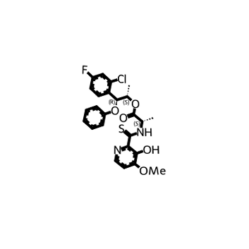 COc1ccnc(C(=S)N[C@@H](C)C(=O)O[C@@H](C)[C@H](Oc2ccccc2)c2ccc(F)cc2Cl)c1O